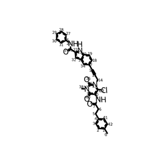 Cc1ccc(CCC(=O)Nc2c(Cl)n(CC#Cc3ccc4[nH]c(C(=O)Nc5ccccc5)cc4c3)c(=O)n(C)c2=O)cc1